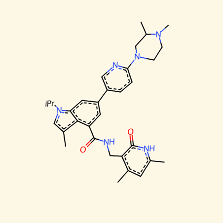 Cc1cc(C)c(CNC(=O)c2cc(-c3ccc(N4CCN(C)C(C)C4)nc3)cc3c2c(C)cn3C(C)C)c(=O)[nH]1